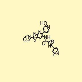 Cc1cc(-c2nc(C(=O)Nc3cc4sc(N5CCOCC5)nc4nc3-c3ccnc(O)c3)co2)ccn1